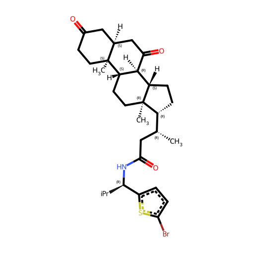 CC(C)[C@@H](NC(=O)C[C@@H](C)[C@H]1CC[C@H]2[C@@H]3C(=O)C[C@@H]4CC(=O)CC[C@]4(C)[C@H]3CC[C@]12C)c1ccc(Br)s1